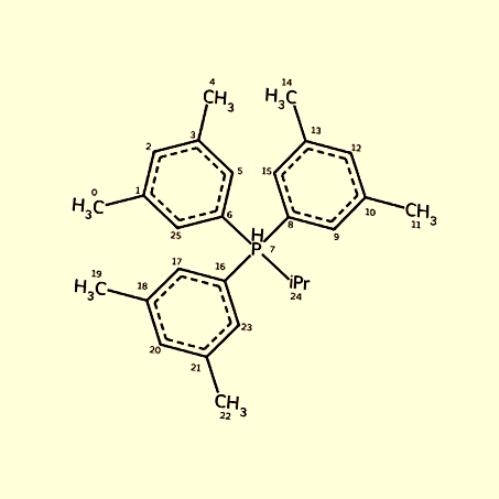 Cc1cc(C)cc([PH](c2cc(C)cc(C)c2)(c2cc(C)cc(C)c2)C(C)C)c1